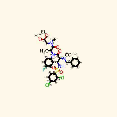 CCOC(CN(C(=O)C(C)N(C(=O)C(CNS(=O)(=O)c1ccc(Cl)cc1Cl)N(Cc1ccccc1)C(=O)O)c1ccc(F)cc1)C(C)C)OCC